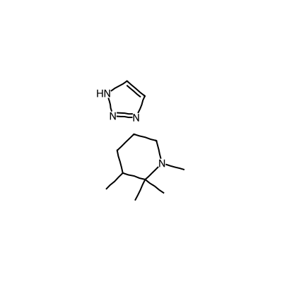 CC1CCCN(C)C1(C)C.c1c[nH]nn1